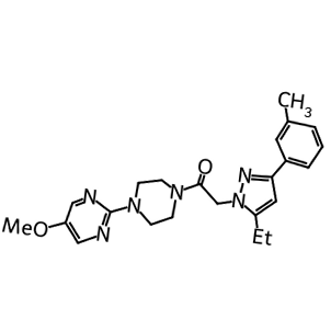 CCc1cc(-c2cccc(C)c2)nn1CC(=O)N1CCN(c2ncc(OC)cn2)CC1